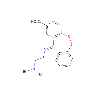 CCN(CC)CC/N=C1\c2ccccc2COc2ccc(C(=O)O)cc21